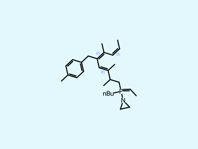 CC=P(CCCC)(CC(C)/C(C)=C/C(Cc1ccc(C)cc1)=C(C)\C=C/C)N1CC1